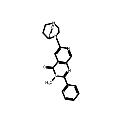 Cn1c(-c2ccccc2)nc2cnc(N3CCN4CCC3CC4)cc2c1=O